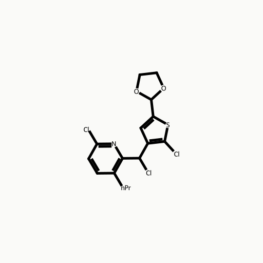 CCCc1ccc(Cl)nc1C(Cl)c1cc(C2OCCO2)sc1Cl